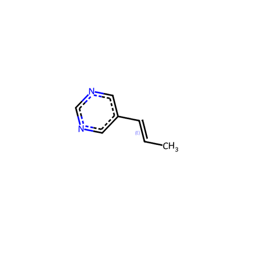 C/C=[C]/c1cncnc1